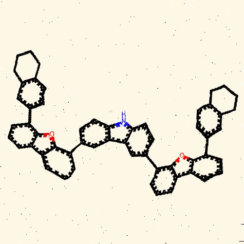 c1cc(-c2ccc3c(c2)CCCC3)c2oc3c(-c4ccc5[nH]c6ccc(-c7cccc8c7oc7c(-c9ccc%10c(c9)CCCC%10)cccc78)cc6c5c4)cccc3c2c1